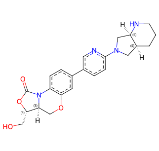 O=C1O[C@@H](CO)[C@@H]2COc3cc(-c4ccc(N5C[C@@H]6CCCN[C@@H]6C5)nc4)ccc3N12